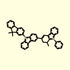 CC1CC(c2ccc3c(c2)c2ccccc2n3-c2ccc3c(c2)C(C)(C)c2ccccc2-3)=Cc2c1n(-c1ccccc1)c1ccccc21